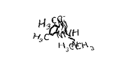 Cc1cc(C)c2c(c1)nc(NCCN(C)C)n[n+]2[O-]